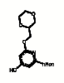 CCCCCCCCCc1cc(O)cc(OCC2COCCO2)n1